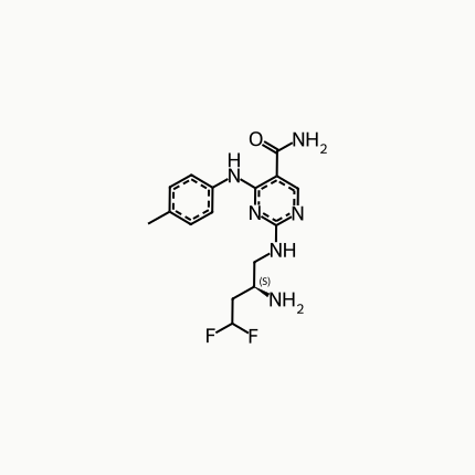 Cc1ccc(Nc2nc(NC[C@@H](N)CC(F)F)ncc2C(N)=O)cc1